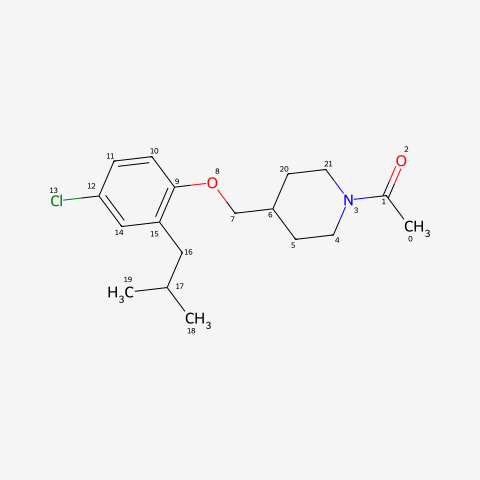 CC(=O)N1CCC(COc2ccc(Cl)cc2CC(C)C)CC1